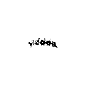 CC(=O)NC[C@H]1CN(c2ccc(-c3ccc(-c4noc(C)n4)c(F)c3)c(F)c2)C(=O)O1